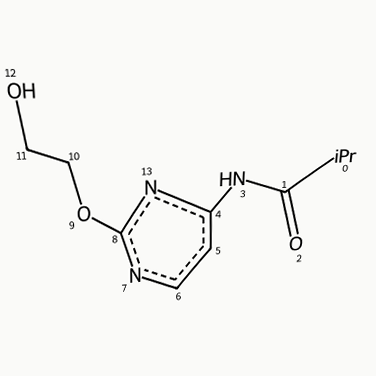 CC(C)C(=O)Nc1ccnc(OCCO)n1